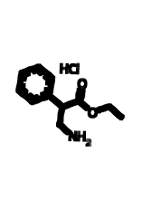 CCOC(=O)C(CN)c1ccccc1.Cl